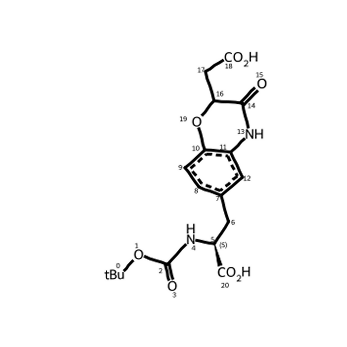 CC(C)(C)OC(=O)N[C@@H](Cc1ccc2c(c1)NC(=O)C(CC(=O)O)O2)C(=O)O